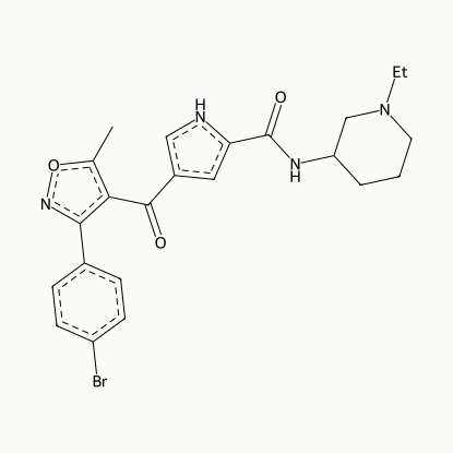 CCN1CCCC(NC(=O)c2cc(C(=O)c3c(-c4ccc(Br)cc4)noc3C)c[nH]2)C1